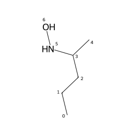 CCCC(C)NO